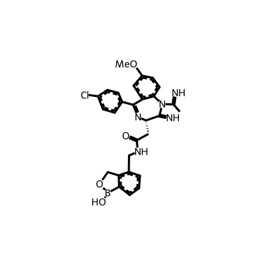 COc1ccc2c(c1)C(c1ccc(Cl)cc1)=N[C@@H](CC(=O)NCc1cccc3c1COB3O)C(=N)N2C(C)=N